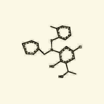 Cc1ccccc1SN(Cc1ccccc1)c1cc(Cl)cc(C(C)O)c1O